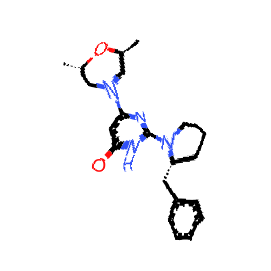 C[C@H]1CN(c2cc(=O)[nH]c(N3CCC[C@@H]3Cc3ccccc3)n2)C[C@H](C)O1